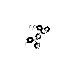 Fc1cccc(N(c2ccncn2)N2CCN(C(CN3CCCC3)c3cccc(C(F)(F)F)c3)CC2)c1